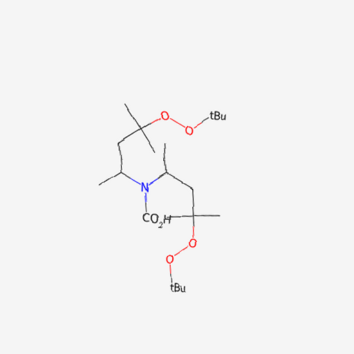 CC(CC(C)(C)OOC(C)(C)C)N(C(=O)O)C(C)CC(C)(C)OOC(C)(C)C